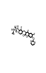 Cc1c(Cc2ccnc(NS(=O)(=O)NC3CC3)c2F)c(=O)oc2cc(Oc3ncccn3)c(F)cc12